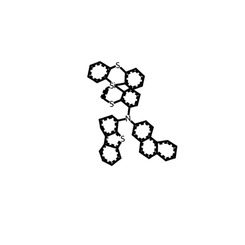 c1ccc2c(c1)Sc1ccccc1[Si]21c2ccccc2Sc2c(N(c3ccc4c(ccc5ccccc54)c3)c3cccc4c3sc3ccccc34)cccc21